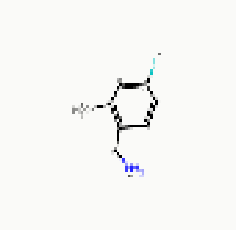 Cc1cc(F)ccc1CN